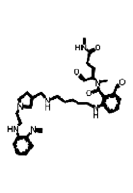 C=Nc1ccccc1NCCN1CCC(CNCCCCCNc2cccc(C=O)c2C(=O)N(C)C(C=O)CCC(=O)NC)C1